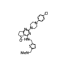 CNCc1ccc(CNc2nc(N3CCN(c4ccc(Cl)cc4)CC3)nc3c2[S+]([O-])CC3)s1